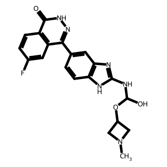 CN1CC(OC(O)Nc2nc3cc(-c4n[nH]c(=O)c5ccc(F)cc45)ccc3[nH]2)C1